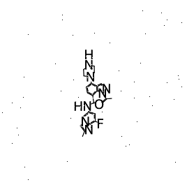 C=C(C)n1ncc2c(N3CCNCC3)ccc(C(=O)Nc3cc(F)c4nc(C)cn4c3)c21